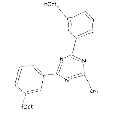 CCCCCCCCc1cccc(-c2nc(C)nc(-c3cccc(CCCCCCCC)c3)n2)c1